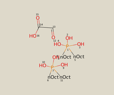 CCCCCCCCP(O)(O)(O)CCCCCCCC.CCCCCCCCP(O)(O)(O)CCCCCCCC.O=CC(=O)O